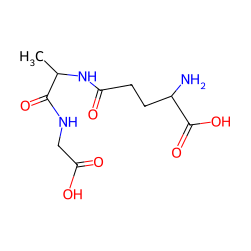 CC(NC(=O)CCC(N)C(=O)O)C(=O)NCC(=O)O